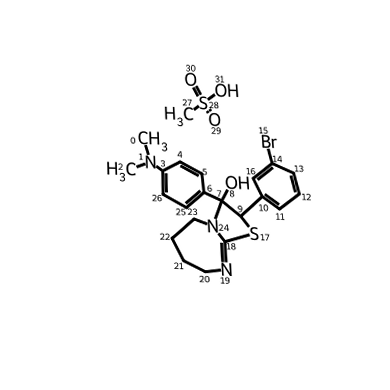 CN(C)c1ccc(C2(O)C(c3cccc(Br)c3)SC3=NCCCCN32)cc1.CS(=O)(=O)O